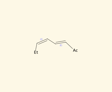 CC/C=C\C=C\C(C)=O